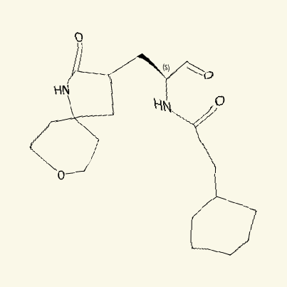 O=C[C@H](CC1CC2(CCOCC2)NC1=O)NC(=O)CCC1CCCCC1